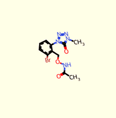 CC(=O)NOCc1c(Br)cccc1-n1nnn(C)c1=O